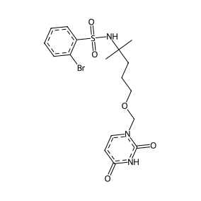 CC(C)(CCCOCn1ccc(=O)[nH]c1=O)NS(=O)(=O)c1ccccc1Br